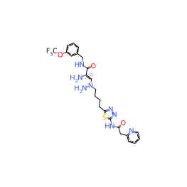 N/C(=C\N(N)CCCCc1nnc(NC(=O)Cc2ccccn2)s1)C(=O)NCc1cccc(OC(F)(F)F)c1